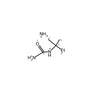 CCC(C)(C)NC(N)=O.N